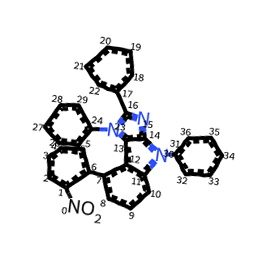 O=[N+]([O-])c1ccccc1-c1cccc2c1c1c(nc(-c3ccccc3)n1-c1ccccc1)n2-c1ccccc1